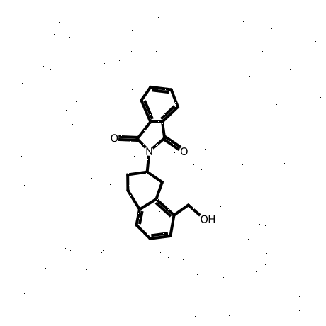 O=C1c2ccccc2C(=O)N1C1CCc2cccc(CO)c2C1